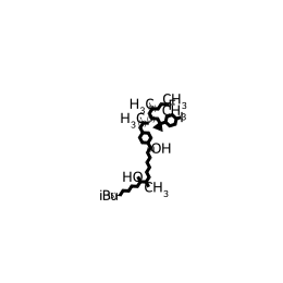 CC[C@H](C)CCCCCC(O)C(C)CCCCCC[C@H](O)C1CCC(C[C@H](C)C[C@H](C[C@H](C)CCC(C)(C)F)CC2(C3CCC(I)CC3)CC2)CC1